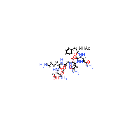 CC(=O)N[C@@H](Cc1ccccc1)C(=O)N[C@@H](CCC(N)=O)C(=O)NC(CC(N)=O)C(=O)NCC(=O)N[C@@H](CCCCN)C(=O)N[C@@H](CO)C(N)=O